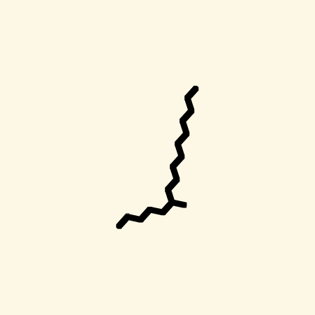 C[CH]CCCC(C)CCCCCCCCCC